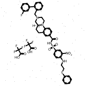 O=C(NS(=O)(=O)c1ccc(NCCSc2ccccc2)c([N+](=O)[O-])c1)c1ccc2c(c1)CC[C@H]1CN(Cc3ccccc3-c3cccc(F)c3)CCN21.O=C(O)C(F)(F)F.O=C(O)C(F)(F)F